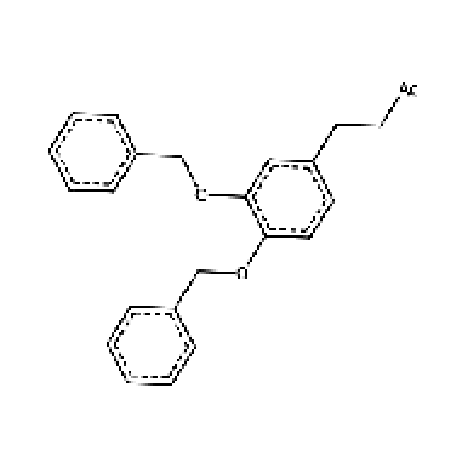 CC(=O)CCc1ccc(OCc2ccccc2)c(OCc2ccccc2)c1